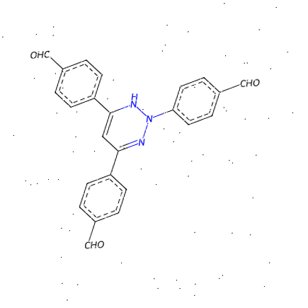 O=Cc1ccc(C2=CC(c3ccc(C=O)cc3)=NN(c3ccc(C=O)cc3)N2)cc1